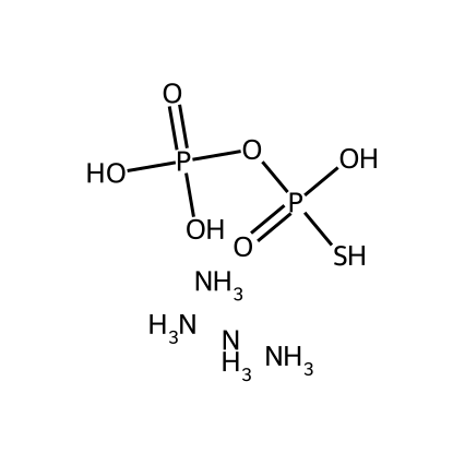 N.N.N.N.O=P(O)(O)OP(=O)(O)S